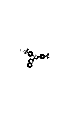 NS(=O)(=O)c1ccc(N2N=C(c3ccc([N+](=O)[O-])cc3)CC2C2CCc3ccccc3O2)cc1